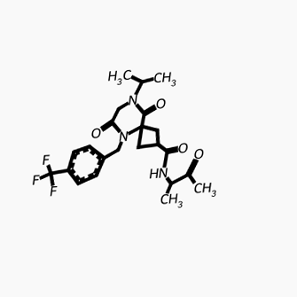 CC(=O)C(C)NC(=O)C1CC2(C1)C(=O)N(C(C)C)CC(=O)N2Cc1ccc(C(F)(F)F)cc1